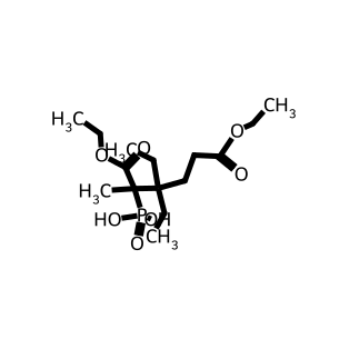 CCOC(=O)CCC(CC)(CC)C(C)(C(=O)OCC)P(=O)(O)O